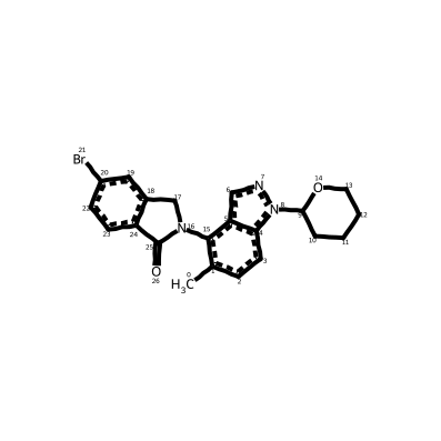 Cc1ccc2c(cnn2C2CCCCO2)c1N1Cc2cc(Br)ccc2C1=O